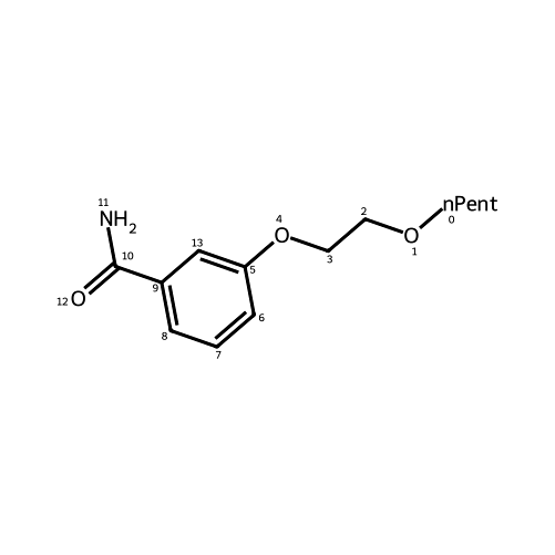 CCCCCOCCOc1cccc(C(N)=O)c1